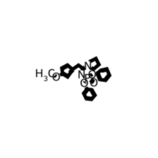 COc1ccc(CC(=NP(=O)(Oc2ccccc2)Oc2ccccc2)N2CCCC2)cc1